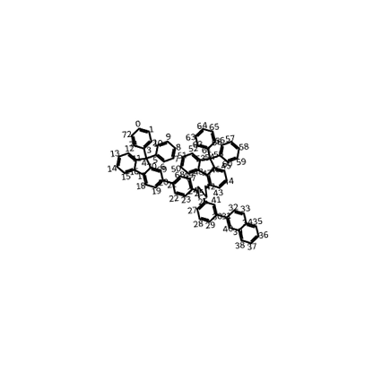 c1ccc(C2(c3ccccc3)c3ccccc3-c3ccc(-c4ccc(N(c5cccc(-c6ccc7ccccc7c6)c5)c5cccc6c5-c5ccccc5C6(c5ccccc5)c5ccccc5)cc4)cc32)cc1